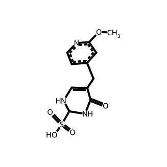 COc1cc(CC2=CNC(S(=O)(=O)O)NC2=O)ccn1